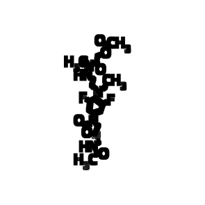 CCN(CCNN(C)C(=O)COC(C)=O)c1c(F)cc(N2C[C@H](CNC(C)=O)OC2=O)cc1F